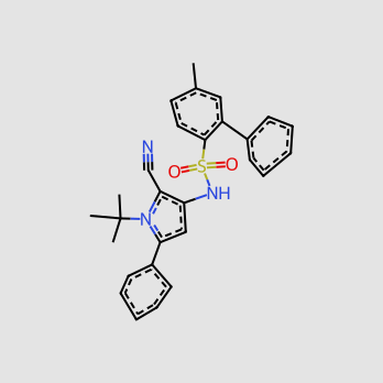 Cc1ccc(S(=O)(=O)Nc2cc(-c3ccccc3)n(C(C)(C)C)c2C#N)c(-c2ccccc2)c1